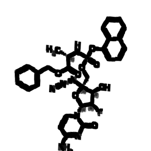 C[C@H](NP(=O)(OC[C@@]1(N=[N+]=[N-])O[C@@H](n2ccc(N)nc2=O)[C@H](F)[C@@H]1O)Oc1cccc2ccccc12)C(=O)OCc1ccccc1